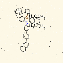 CC1(C)CCC(C)(C)c2cc(N(c3ccc(-c4ccc(-c5ccc6ccccc6c5)cc4)cc3)c3cccc4c3Sc3ccccc3C43C4CC5CC6CC3C64C5)ccc21